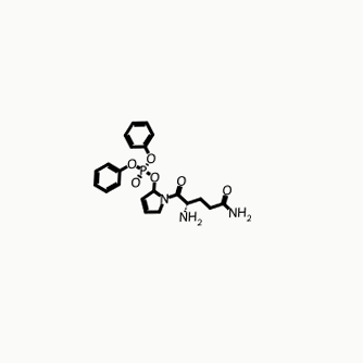 NC(=O)CC[C@H](N)C(=O)N1CC=CC1OP(=O)(Oc1ccccc1)Oc1ccccc1